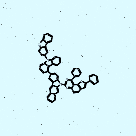 c1ccc(-c2cc3ccc4nc(-n5c6ccc(-c7cccc8c7c7ccccc7n8-c7ccc8oc9ccccc9c8c7)cc6c6cc7ccccc7cc65)nc(-c5ccccc5)c4c3s2)cc1